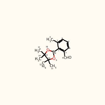 Cc1cccc(C=O)c1B1OC(C)(C)C(C)(C)O1